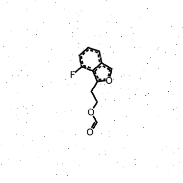 O=COCCc1occ2cccc(F)c12